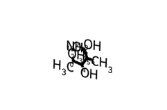 CC(O)C(O)C(C)C(=O)O.N